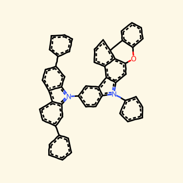 c1ccc(-c2ccc3c4ccc(-c5ccccc5)cc4n(-c4ccc5c(c4)c4c6cccc7c6c(cc4n5-c4ccccc4)Oc4ccccc4-7)c3c2)cc1